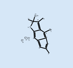 CC1=Cc2c(Br)c3c(cc2=C1)S[C](C)([Zr+3])C=3C.[Cl-].[Cl-].[Cl-]